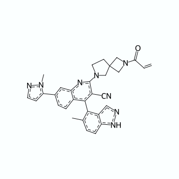 C=CC(=O)N1CC2(CCN(c3nc4cc(-c5ccnn5C)ccc4c(-c4c(C)ccc5[nH]ncc45)c3C#N)C2)C1